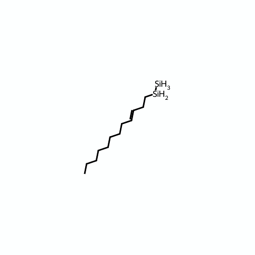 CCCCCCCCC=CCC[SiH2][SiH3]